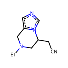 CCN1Cc2cncn2C(CC#N)C1